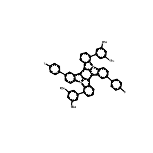 CC(C)(C)c1cc(-c2cccc3c4c5c6cc(-c7ccc(F)cc7)ccc6n6c7c(-c8cc(C(C)(C)C)cc(C(C)(C)C)c8)cccc7c(c7c8cc(-c9ccc(F)cc9)ccc8n(c23)c74)c56)cc(C(C)(C)C)c1